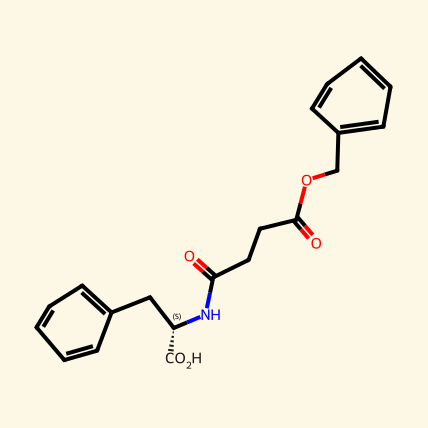 O=C(CCC(=O)OCc1ccccc1)N[C@@H](Cc1ccccc1)C(=O)O